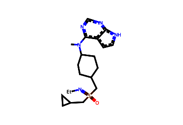 CCN=S(=O)(CC1CC1)CC1CCC(N(C)c2ncnc3[nH]ccc23)CC1